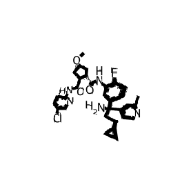 CO[C@H]1CC(C(=O)Nc2ccc(Cl)cn2)[C@@H](C(=O)Nc2cc(C(N)(CCC3CC3)c3ccnc(C)c3)ccc2F)C1